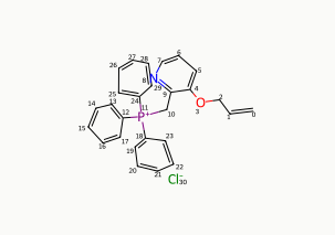 C=CCOc1cccnc1C[P+](c1ccccc1)(c1ccccc1)c1ccccc1.[Cl-]